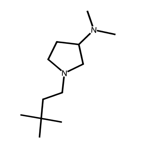 CN(C)C1CCN(CCC(C)(C)C)C1